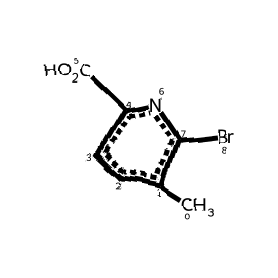 Cc1ccc(C(=O)O)nc1Br